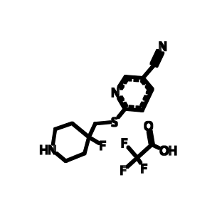 N#Cc1ccc(SCC2(F)CCNCC2)nc1.O=C(O)C(F)(F)F